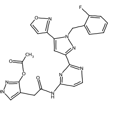 CC(=O)Oc1n[nH]cc1CC(=O)Nc1ccnc(-c2cc(-c3ccon3)n(Cc3ccccc3F)n2)n1